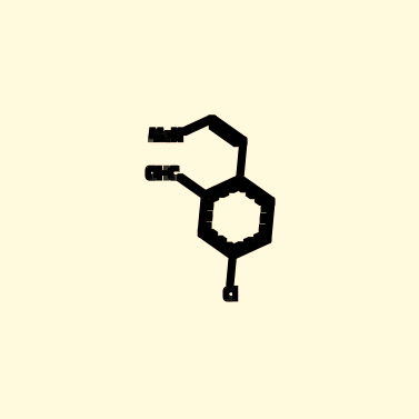 CN/C=C\c1ccc(Cl)cc1C=O